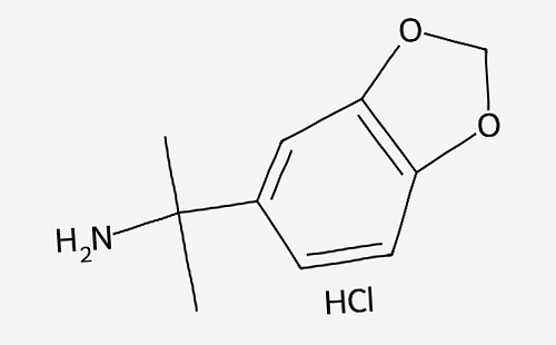 CC(C)(N)c1ccc2c(c1)OCO2.Cl